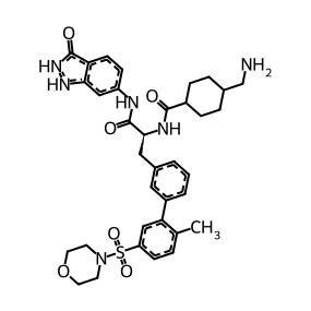 Cc1ccc(S(=O)(=O)N2CCOCC2)cc1-c1cccc(C[C@H](NC(=O)C2CCC(CN)CC2)C(=O)Nc2ccc3c(=O)[nH][nH]c3c2)c1